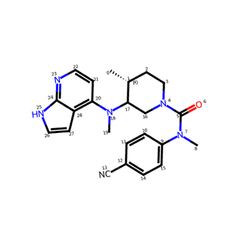 C[C@@H]1CCN(C(=O)N(C)c2ccc(C#N)cc2)CC1N(C)c1ccnc2[nH]ccc12